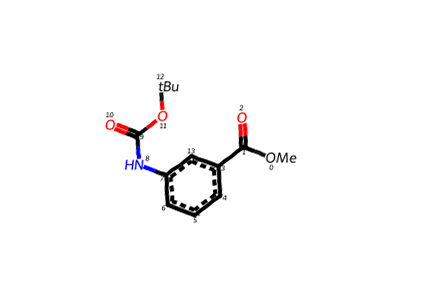 COC(=O)c1c[c]cc(NC(=O)OC(C)(C)C)c1